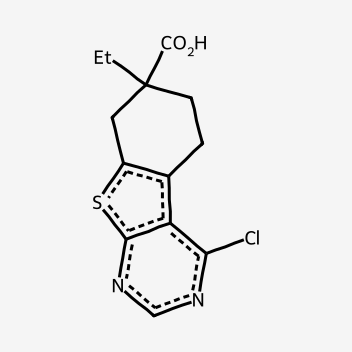 CCC1(C(=O)O)CCc2c(sc3ncnc(Cl)c23)C1